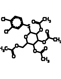 CC(=O)OCC1OC(Sc2ccc(Cl)c(Cl)c2)C(OC(C)=O)C(OC(C)=O)C1OC(C)=O